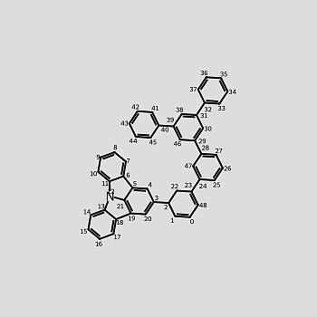 C1=CC(c2cc3c4ccccc4n4c5ccccc5c(c2)c34)CC(c2cccc(-c3cc(-c4ccccc4)cc(-c4ccccc4)c3)c2)=C1